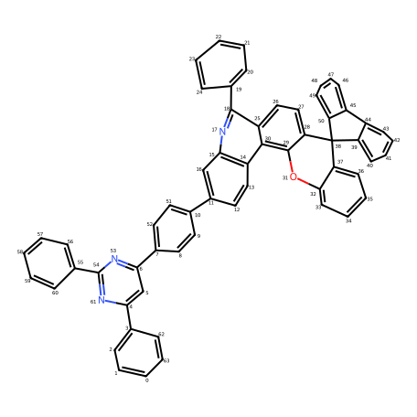 c1ccc(-c2cc(-c3ccc(-c4ccc5c(c4)nc(-c4ccccc4)c4ccc6c(c45)Oc4ccccc4C64c5ccccc5-c5ccccc54)cc3)nc(-c3ccccc3)n2)cc1